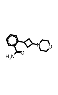 NC(=O)c1ccccc1C1CC(N2CCOCC2)C1